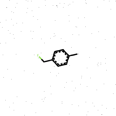 [CH]c1ccc(CF)cc1